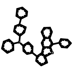 c1ccc(-c2ccc(N(c3ccccc3)c3ccc(-c4cccc5oc6c(-c7ccccc7)c7ccccc7cc6c45)cc3)cc2)cc1